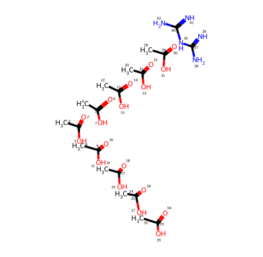 CC(=O)O.CC(=O)O.CC(=O)O.CC(=O)O.CC(=O)O.CC(=O)O.CC(=O)O.CC(=O)O.CC(=O)O.N=C(N)NC(=N)N